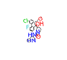 CNCC(CC1CCCC1)NC(=O)N1CCCC(C(O)(CCCCOC)c2cccc(F)c2-c2cccc(Cl)c2)C1